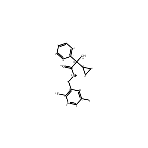 Cc1cnc(F)c(CNC(=O)C(O)(c2ccccc2)C2CC2)c1